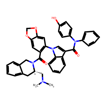 CN(C)C[C@@H]1Cc2ccccc2CN1C(=O)c1cc2c(cc1-n1cc(C(=O)N(c3ccccc3)c3ccc(O)cc3)c3ccccc31)OCO2